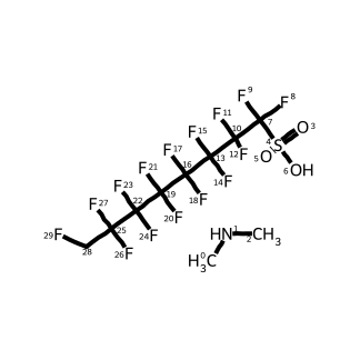 CNC.O=S(=O)(O)C(F)(F)C(F)(F)C(F)(F)C(F)(F)C(F)(F)C(F)(F)C(F)(F)CF